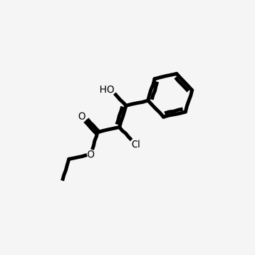 CCOC(=O)/C(Cl)=C(\O)c1ccccc1